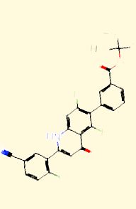 CC(C)(C)OC(=O)c1cccc(-c2c(F)cc3[nH]c(-c4cc(C#N)ccc4Cl)cc(=O)c3c2F)c1